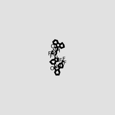 O=C(Nc1cccc2c1ccn2CCCCC1(C(=O)NCC(F)(F)F)c2ccccc2-c2ccccc21)c1ccccc1-c1ccc(C(F)(F)F)cc1